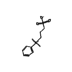 C[N+](C)(CCCS(=O)(=O)[O-])c1ccccc1